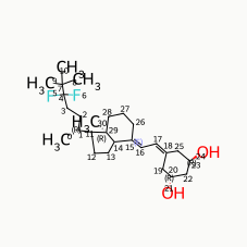 C[C@H](CCC(F)(F)C(C)(C)C)C1CCC2/C(=C/C=C3C[C@@H](O)C[C@H](O)C3)CCC[C@@]21C